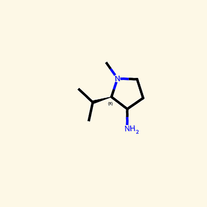 CC(C)[C@@H]1C(N)CCN1C